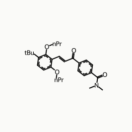 CCCOc1ccc(C(C)(C)C)c(OCCC)c1C=CC(=O)c1ccc(C(=O)N(C)C)cc1